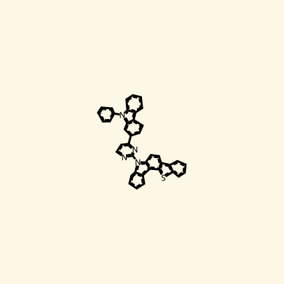 c1ccc(-n2c3ccccc3c3ccc(-c4ccnc(-n5c6ccccc6c6c7sc8ccccc8c7ccc65)n4)cc32)cc1